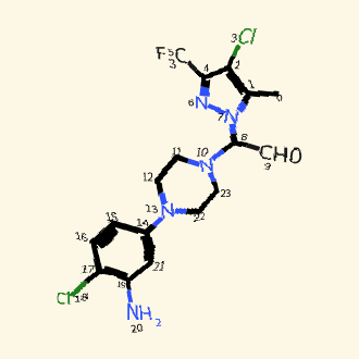 Cc1c(Cl)c(C(F)(F)F)nn1C(C=O)N1CCN(c2ccc(Cl)c(N)c2)CC1